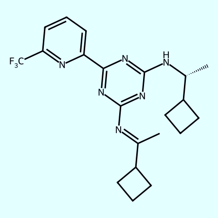 C/C(=N\c1nc(N[C@H](C)C2CCC2)nc(-c2cccc(C(F)(F)F)n2)n1)C1CCC1